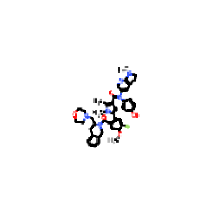 COc1cc(C(=O)N2Cc3ccccc3C[C@H]2CN2CCOCC2)c(-c2cc(C(=O)N(c3ccc(O)cc3)c3cnc4c(c3)CCN4C)c(C)n2C)cc1F